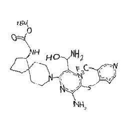 CC(C)(C)OC(=O)N[C@@H]1CCCC12CCN(c1nc(N)c(Sc3ccncc3C(F)(F)F)nc1C(N)O)CC2